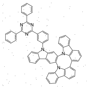 c1ccc(-c2nc(-c3ccccc3)nc(-c3cccc(-n4c5ccccc5c5cc6c(cc54)n4c5ccccc5c5cccc(c7cccc8c9ccccc9n6c87)c54)c3)n2)cc1